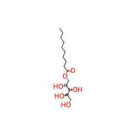 CCCCCCCCCC(=O)OC[C@H](O)[C@@H](O)[C@H](O)CO